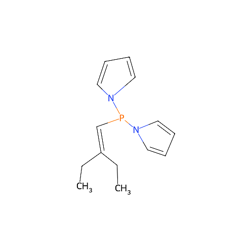 CCC(=CP(n1cccc1)n1cccc1)CC